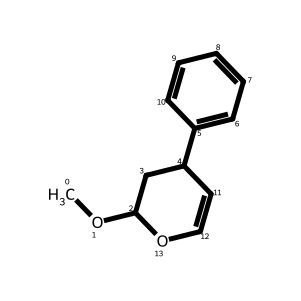 COC1CC(c2ccccc2)C=CO1